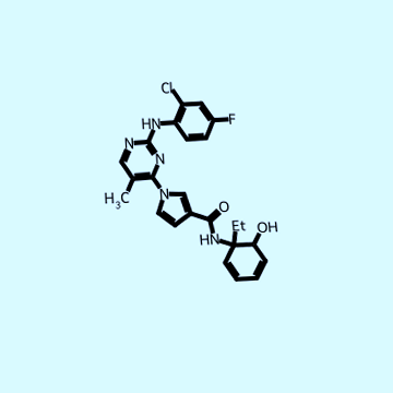 CCC1(NC(=O)c2ccn(-c3nc(Nc4ccc(F)cc4Cl)ncc3C)c2)C=CC=CC1O